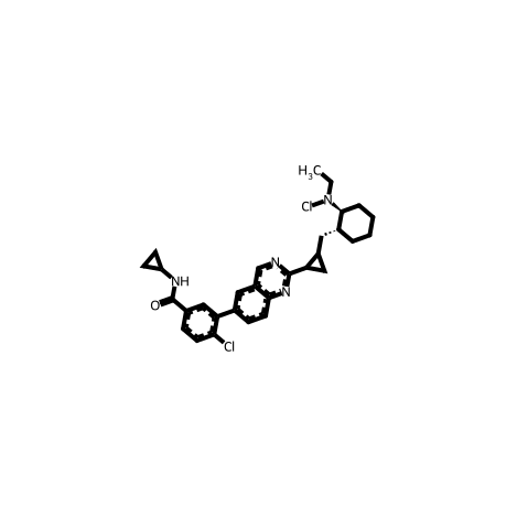 CCN(Cl)[C@H]1CCCC[C@@H]1CC1CC1c1ncc2cc(-c3cc(C(=O)NC4CC4)ccc3Cl)ccc2n1